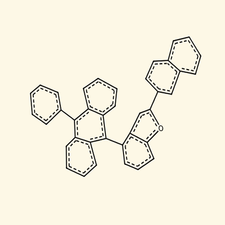 c1ccc(-c2c3ccccc3c(-c3cccc4oc(-c5ccc6ccccc6c5)cc34)c3ccccc23)cc1